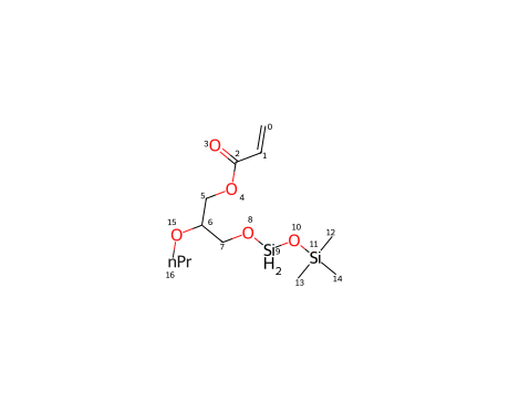 C=CC(=O)OCC(CO[SiH2]O[Si](C)(C)C)OCCC